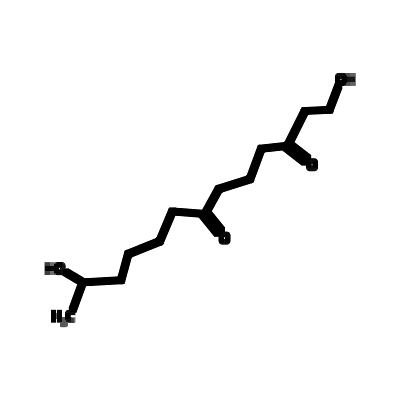 CC(O)CCCCC(=O)CCCC(=O)CCO